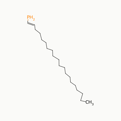 CCCCCCCCCCCCCCCCCCC=CP